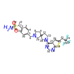 CC(c1ccc(CN2CCC3(CCN(c4ncnc5sc(CC(F)(F)F)cc45)C3)C2)cc1)S(N)(=O)=O